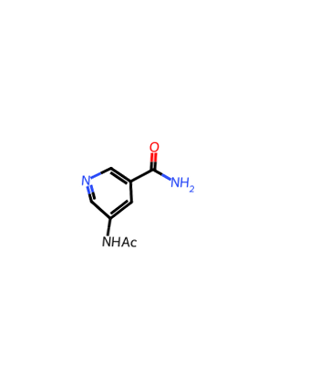 CC(=O)Nc1cncc(C(N)=O)c1